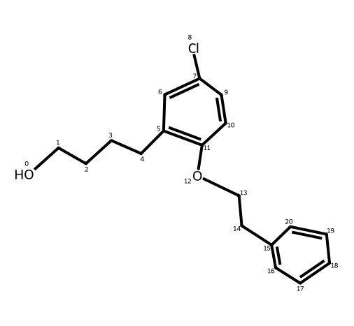 OCCCCc1cc(Cl)ccc1OCCc1ccccc1